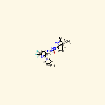 Cc1[nH]c2c(NC(=O)NCc3ccc(C(F)(F)F)nc3N3CCC(C)CC3)cccc2c1C